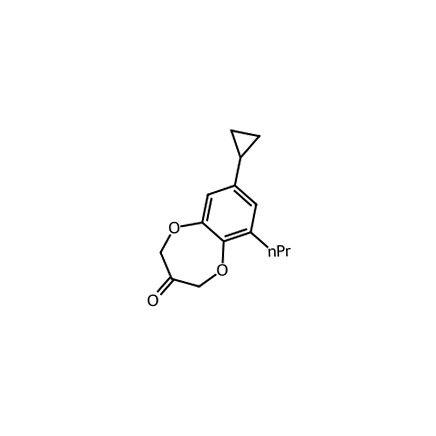 CCCc1cc(C2CC2)cc2c1OCC(=O)CO2